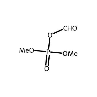 COP(=O)(OC)OC=O